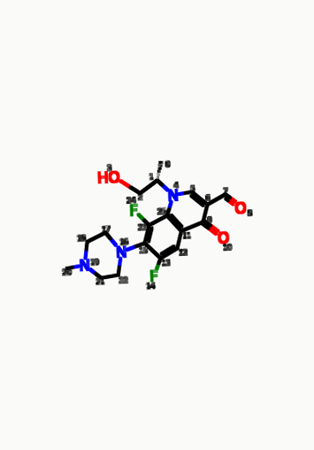 C[C@@H](CO)n1cc(C=O)c(=O)c2cc(F)c(N3CCN(C)CC3)c(F)c21